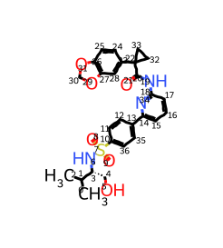 CC(C)[C@@H](CO)NS(=O)(=O)c1ccc(-c2cccc(NC(=O)C3(c4ccc5c(c4)OCO5)CC3)n2)cc1